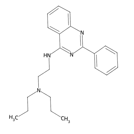 CCCN(CCC)CCNc1nc(-c2ccccc2)nc2ccccc12